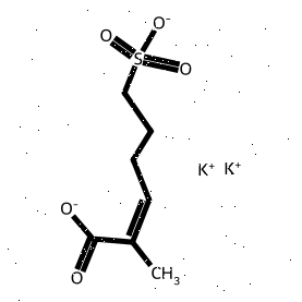 CC(=CCCCS(=O)(=O)[O-])C(=O)[O-].[K+].[K+]